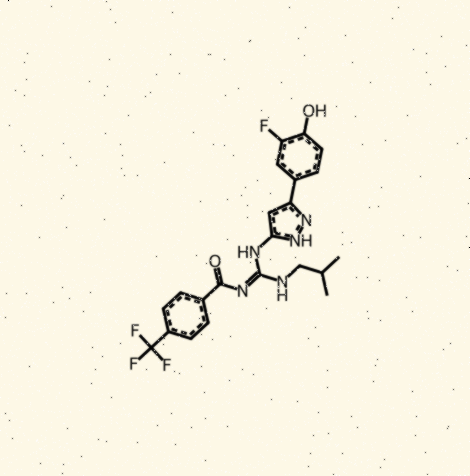 CC(C)CN/C(=N/C(=O)c1ccc(C(F)(F)F)cc1)Nc1cc(-c2ccc(O)c(F)c2)n[nH]1